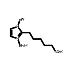 CCCCCCCCCCCCCCCc1n(CCC)cc[n+]1CCCCCC